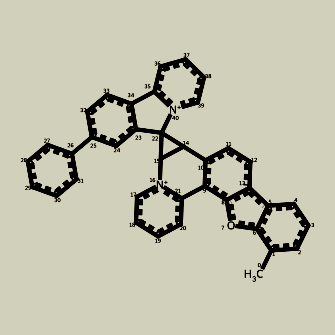 Cc1cccc2c1oc1c3c(ccc12)C1C([n+]2ccccc2-3)C12c1cc(-c3ccccc3)ccc1-c1cccc[n+]12